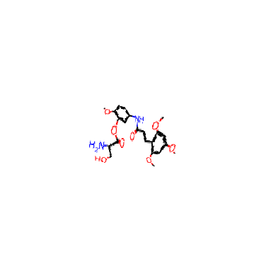 COc1cc(OC)c(/C=C/C(=O)Nc2ccc(OC)c(OC(=O)[C@H](N)CO)c2)c(OC)c1